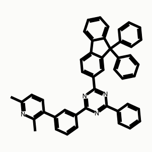 Cc1ccc(-c2cccc(-c3nc(-c4ccccc4)nc(-c4ccc5c(c4)C(c4ccccc4)(c4ccccc4)c4ccccc4-5)n3)c2)c(C)n1